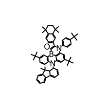 CC(C)(C)c1ccc(N2c3cc(C(C)(C)C)cc4c3B(c3cc(C(C)(C)C)ccc3N4C3C=CC=C4c5ccccc5C(C)(C)C43)c3oc4cc5c(cc4c32)C(C)(C)CCC5(C)C)cc1